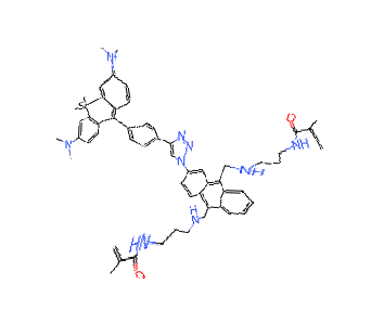 C=C(C)C(=O)NCCCNCc1c2ccccc2c(CNCCCNC(=O)C(=C)C)c2cc(-n3cc(-c4ccc(C5=C6C=CC(=[N+](C)C)C=C6[Si](C)(C)c6cc(N(C)C)ccc65)cc4)nn3)ccc12